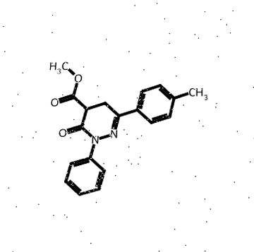 COC(=O)C1CC(c2ccc(C)cc2)=NN(c2ccccc2)C1=O